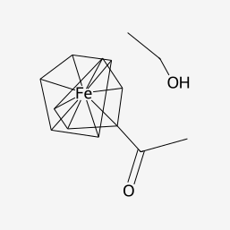 CC(=O)[C]12[CH]3[CH]4[CH]5[CH]1[Fe]45321678[CH]2[CH]1[CH]6[CH]7[CH]28.CCO